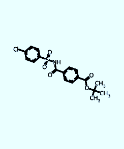 CC(C)(C)OC(=O)c1ccc(C(=O)NS(=O)(=O)c2ccc(Cl)cc2)cc1